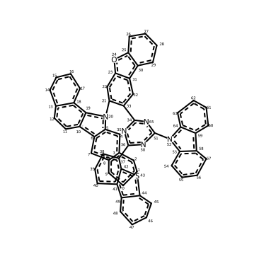 c1ccc2cc3c(cc2c1)c1ccc2ccccc2c1n3-c1cc2oc3ccccc3c2cc1-c1nc(-c2cccc3c2sc2ccccc23)nc(-n2c3ccccc3c3ccccc32)n1